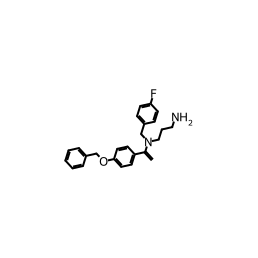 C=C(c1ccc(OCc2ccccc2)cc1)N(CCCN)Cc1ccc(F)cc1